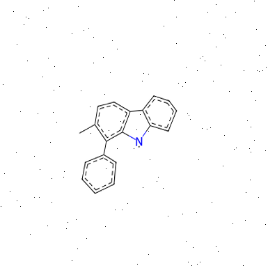 Cc1ccc2c(c1-c1ccccc1)[N]c1ccccc1-2